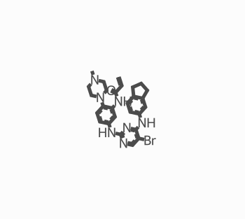 C=CC(=O)Nc1cc(Nc2ncc(Br)c(Nc3ccc4c(c3)CCC4)n2)ccc1N1CCN(C)CC1